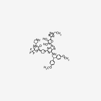 CCn1nnc([C@H]2O[C@@H](n3cnc4c(NCC(c5ccc(OC)cc5)c5ccc(OC)cc5)nc(N5CC[C@@H](N(OC(=O)C(F)(F)F)C(=O)NC6CCNC6)C5)nc43)[C@@H](O)[C@@H]2O)n1